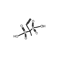 C=CC(C)(S(=O)(=O)O)S(=O)(=O)O